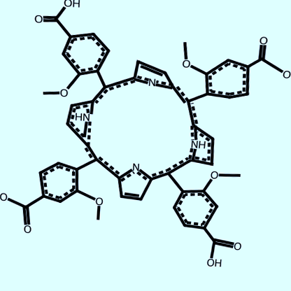 COc1cc(C(=O)O)ccc1-c1c2nc(c(-c3ccc(C(=O)O)cc3OC)c3ccc([nH]3)c(-c3ccc(C(=O)O)cc3OC)c3nc(c(-c4ccc(C(=O)O)cc4OC)c4ccc1[nH]4)C=C3)C=C2